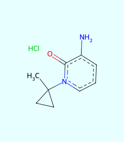 CC1(n2cccc(N)c2=O)CC1.Cl